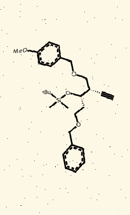 C#C[C@@H](COCc1ccc(OC)cc1)[C@H](CCOCc1ccccc1)O[Si](C)(C)C(C)(C)C